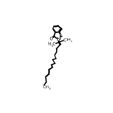 CCCCCCCCCCCCCCCC(C)(C)n1sc2ccccc2c1=O